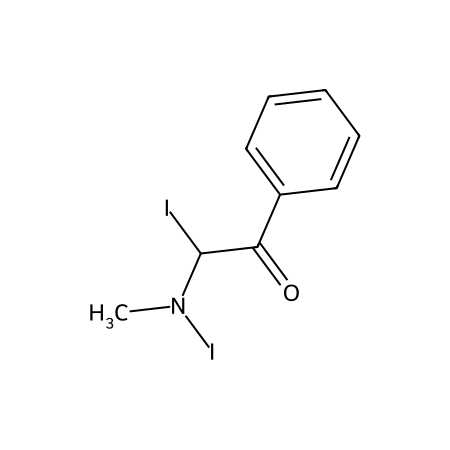 CN(I)C(I)C(=O)c1ccccc1